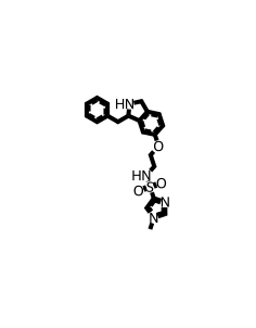 Cn1cnc(S(=O)(=O)NCCOc2ccc3c(c2)C(Cc2ccccc2)NC3)c1